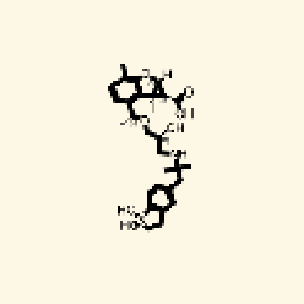 Cc1ccc([C@@H](C)OC[C@H](O)CNC(C)(C)Cc2ccc3c(c2)CCS3(O)O)c2c1O[C@@H]1[C@@H](C(=O)O)[C@H]21